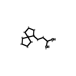 OC(O)CCC1CCCC12CCCC2